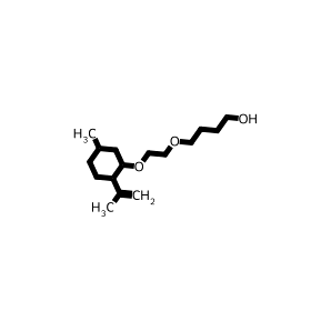 C=C(C)C1CCC(C)CC1OCCOCCCCO